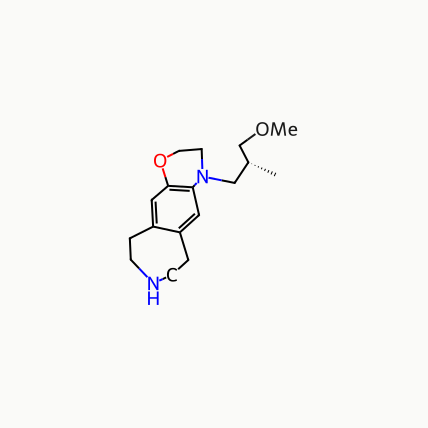 COC[C@H](C)CN1CCOc2cc3c(cc21)CCNCC3